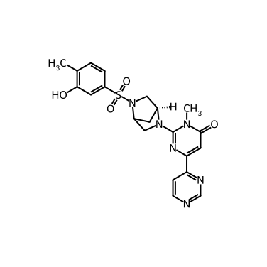 Cc1ccc(S(=O)(=O)N2C[C@@H]3CC2CN3c2nc(-c3ccncn3)cc(=O)n2C)cc1O